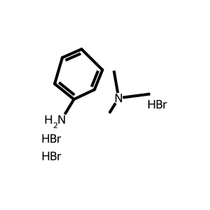 Br.Br.Br.CN(C)C.Nc1ccccc1